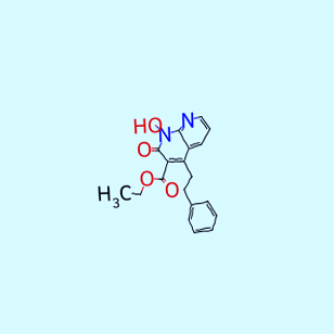 CCOC(=O)c1c(CCc2ccccc2)c2cccnc2n(O)c1=O